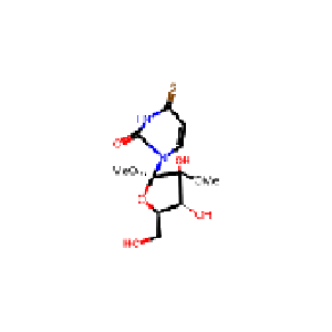 CO[C@@]1(n2ccc(=S)[nH]c2=O)O[C@H](CO)[C@@H](O)[C@]1(O)OC